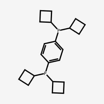 c1cc(P(C2CCC2)C2CCC2)ccc1P(C1CCC1)C1CCC1